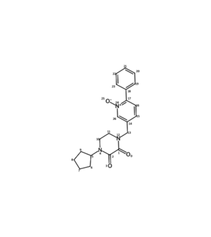 O=C1C(=O)N(C2CCCC2)CCN1Cc1ccc(-c2ccccc2)[n+]([O-])c1